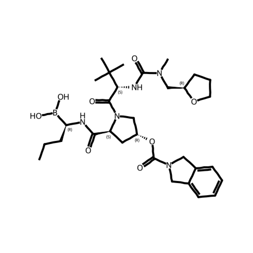 CCC[C@H](NC(=O)[C@@H]1C[C@@H](OC(=O)N2Cc3ccccc3C2)CN1C(=O)[C@@H](NC(=O)N(C)C[C@H]1CCCO1)C(C)(C)C)B(O)O